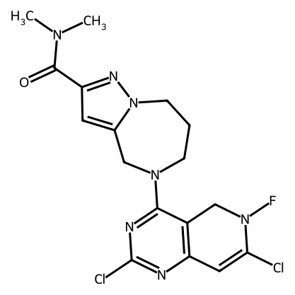 CN(C)C(=O)c1cc2n(n1)CCCN(c1nc(Cl)nc3c1CN(F)C(Cl)=C3)C2